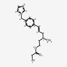 CC(=O)CC(=O)OCCN(C)CC=Cc1ccc(Cn2ccnc2)cc1